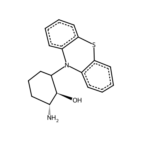 N[C@@H]1CCCC(N2c3ccccc3Sc3ccccc32)[C@H]1O